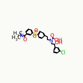 CN(C)C(=O)c1cccc(S(=O)(=O)c2ccc(CCN(C[C@@H](O)c3cccc(Cl)c3)C(=O)O)cc2)c1